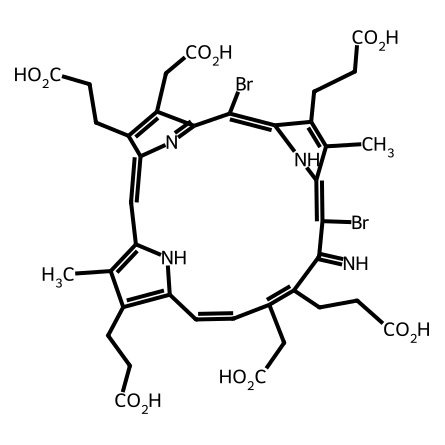 Cc1c(CCC(=O)O)c2ccc(CC(=O)O)c(CCC(=O)O)c(=N)c(Br)c3[nH]c(c(Br)c4nc(cc1[nH]2)C(CCC(=O)O)=C4CC(=O)O)c(CCC(=O)O)c3C